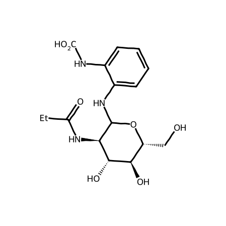 CCC(=O)N[C@H]1C(Nc2ccccc2NC(=O)O)O[C@H](CO)[C@@H](O)[C@@H]1O